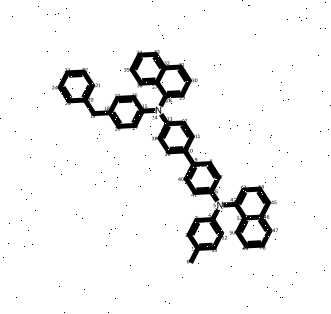 Cc1ccc(N(c2ccc(-c3ccc(N(c4ccc(Cc5ccccc5)cc4)c4cccc5ccccc45)cc3)cc2)c2cccc3ccccc23)cc1